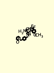 COc1ccc(C(F)(F)F)c(C(N)c2nn(Cc3ccc(Cn4ccccc4=O)cc3)cc2C(N)=O)c1